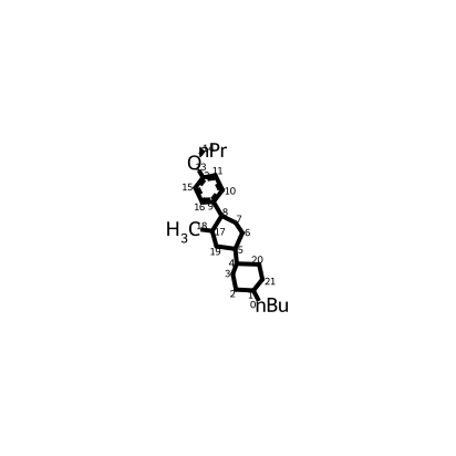 CCCCC1CCC(C2CCC(c3ccc(OCCC)cc3)C(C)C2)CC1